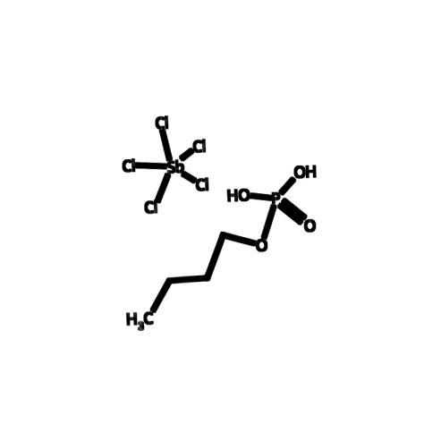 CCCCOP(=O)(O)O.[Cl][Sb]([Cl])([Cl])([Cl])[Cl]